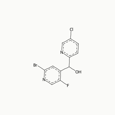 OC(c1ccc(Cl)cn1)c1cc(Br)ncc1F